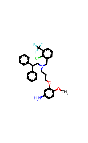 COc1ccc(N)cc1OCCCN(Cc1cccc(C(F)(F)F)c1Cl)CC(c1ccccc1)c1ccccc1